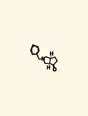 O=C1CC[C@@H]2CN(Cc3ccccc3)C[C@H]12